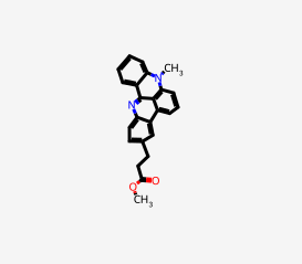 COC(=O)CCc1ccc2nc3c4c(cccc4c2c1)N(C)c1ccccc1-3